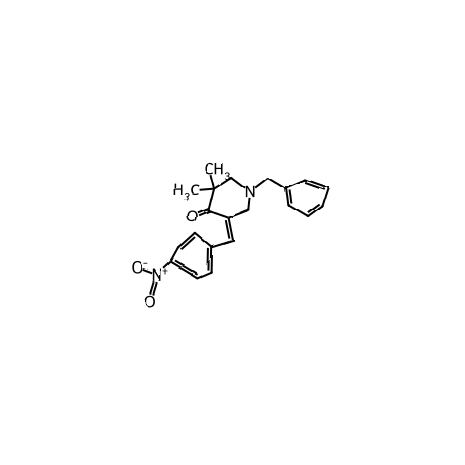 CC1(C)CN(Cc2ccccc2)CC(=Cc2ccc([N+](=O)[O-])cc2)C1=O